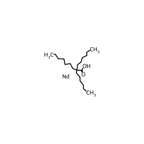 CCCCCCCC(CCCCCC)(CCCCCC)C(=O)O.[Nd]